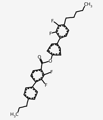 CCCCCc1ccc(-c2ccc(OC(=O)c3ccc(-c4ccc(CCC)cc4)c(F)c3F)cc2)c(F)c1F